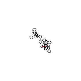 c1ccc(-c2nc(-c3ccccc3)nc(-c3cccc4c3C3(c5ccccc5Oc5ccccc53)c3cc(-c5cccc(-c6nc(-c7ccccc7)c7sc8ccccc8c7n6)c5)ccc3-4)n2)cc1